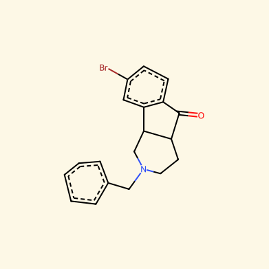 O=C1c2ccc(Br)cc2C2CN(Cc3ccccc3)CCC12